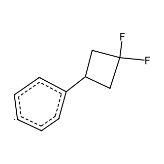 FC1(F)CC(c2cc[c]cc2)C1